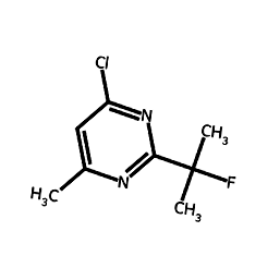 Cc1cc(Cl)nc(C(C)(C)F)n1